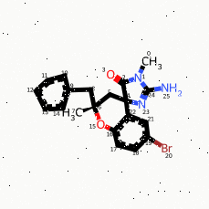 CN1C(=O)C2(C[C@@](C)(Cc3ccccc3)Oc3ccc(Br)cc32)N=C1N